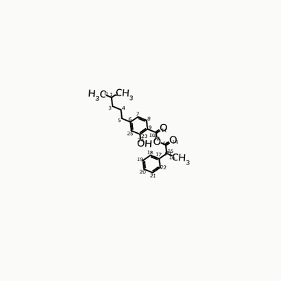 CC(C)CCCc1ccc(C(=O)OC(=O)[C@@H](C)c2ccccc2)c(O)c1